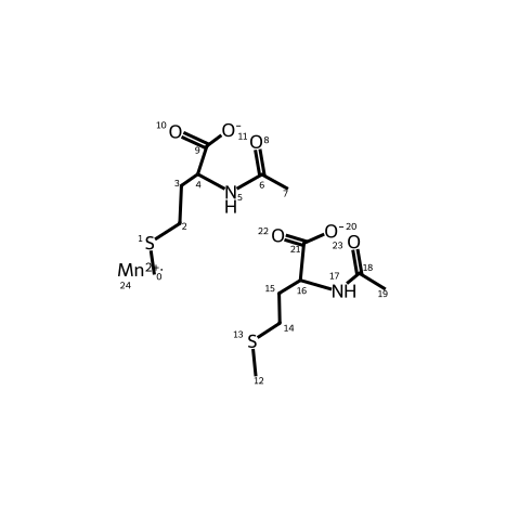 CSCCC(NC(C)=O)C(=O)[O-].CSCCC(NC(C)=O)C(=O)[O-].[Mn+2]